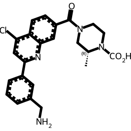 C[C@@H]1CN(C(=O)c2ccc3c(Cl)cc(-c4cccc(CN)c4)nc3c2)CCN1C(=O)O